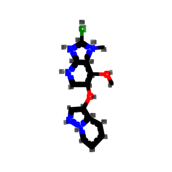 COc1c(Oc2cnn3ccccc23)cnc2nc(Cl)n(C)c12